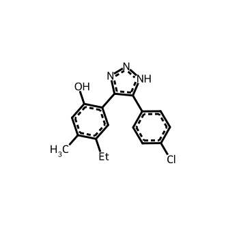 CCc1cc(-c2nn[nH]c2-c2ccc(Cl)cc2)c(O)cc1C